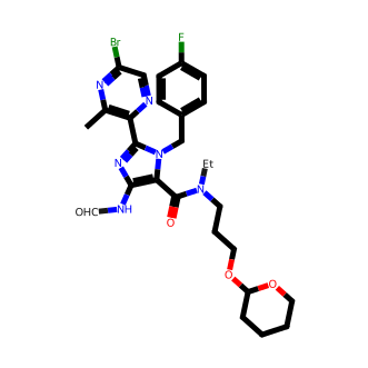 CCN(CCCOC1CCCCO1)C(=O)c1c(NC=O)nc(-c2ncc(Br)nc2C)n1Cc1ccc(F)cc1